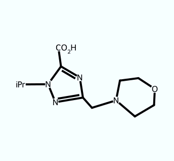 CC(C)n1nc(CN2CCOCC2)nc1C(=O)O